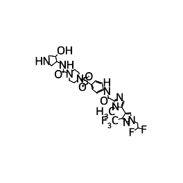 Cn1c(-c2cn(CC(F)F)nc2C(F)(F)F)cnc1C(=O)Nc1ccc(S(=O)(=O)N2CCN(C(=O)NC3CNCC3O)CC2)cc1